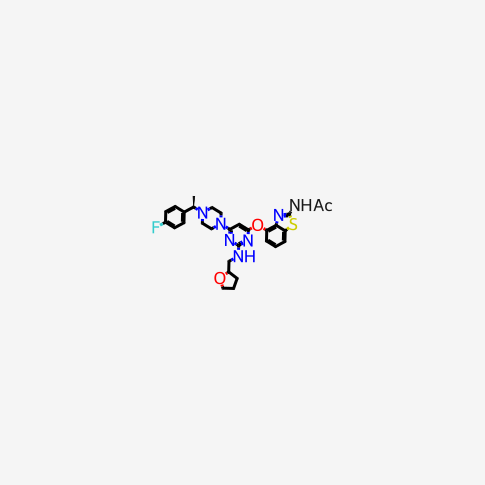 CC(=O)Nc1nc2c(Oc3cc(N4CCN([C@H](C)c5ccc(F)cc5)CC4)nc(NCC4CCCO4)n3)cccc2s1